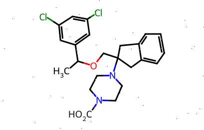 CC(OCC1(N2CCN(C(=O)O)CC2)Cc2ccccc2C1)c1cc(Cl)cc(Cl)c1